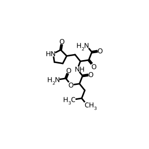 CC(C)CC(OC(N)=O)C(=O)NC(CC1CCNC1=O)C(=O)C(N)=O